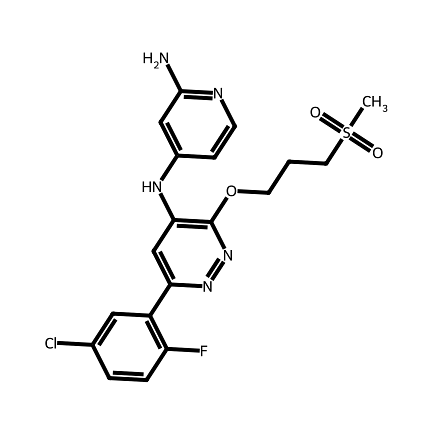 CS(=O)(=O)CCCOc1nnc(-c2cc(Cl)ccc2F)cc1Nc1ccnc(N)c1